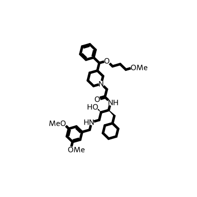 COCCCOC(c1ccccc1)C1CCCN(CC(=O)N[C@@H](CC2CCCCC2)[C@@H](O)CNCc2cc(OC)cc(OC)c2)C1